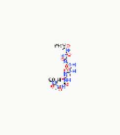 CNC(C)C(=O)N(C)CC(=O)NCC(=O)N(C)CC(=O)NC(C)C(=O)NC(C)C(=O)N(C)CC(=O)NCC(=O)N(C)CC(=O)N(C)CC(=O)NCC(=O)O